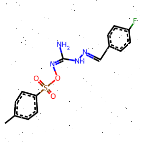 Cc1ccc(S(=O)(=O)ON=C(N)NN=Cc2ccc(F)cc2)cc1